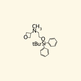 CN(CCO[Si](c1ccccc1)(c1ccccc1)C(C)(C)C)C1COC1